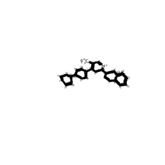 FC(F)(F)c1cnc(-c2ccc3ccccc3c2)cc1-c1ccc(-c2ccccc2)cc1